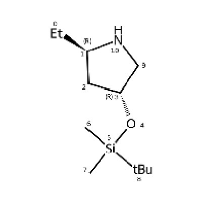 CC[C@@H]1C[C@@H](O[Si](C)(C)C(C)(C)C)CN1